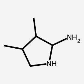 CC1CNC(N)C1C